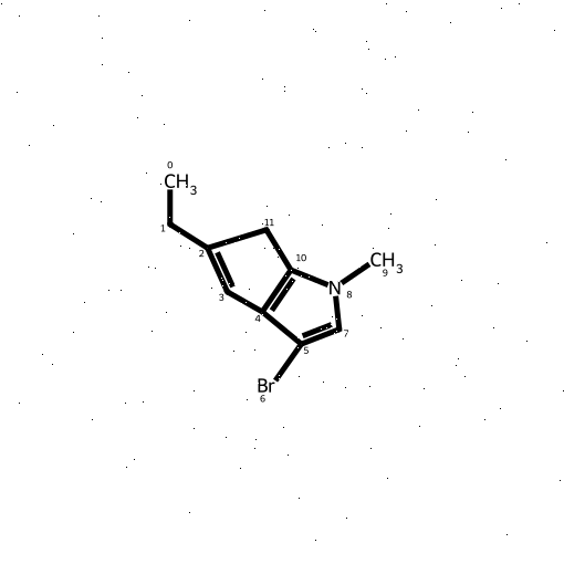 CCC1=Cc2c(Br)cn(C)c2C1